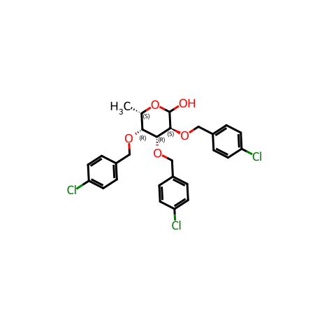 C[C@@H]1OC(O)[C@@H](OCc2ccc(Cl)cc2)[C@H](OCc2ccc(Cl)cc2)[C@@H]1OCc1ccc(Cl)cc1